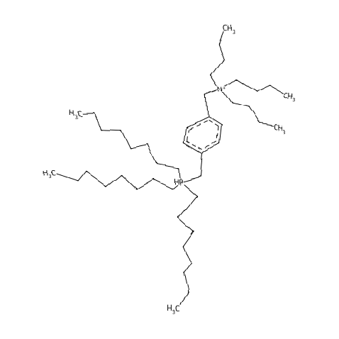 CCCCCCCC[PH](CCCCCCCC)(CCCCCCCC)Cc1ccc(C[N+](CCCC)(CCCC)CCCC)cc1